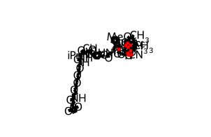 COc1c(C)cc2c(c1O)C1C3[C@@H]4SC[C@]5(N[C@@H](CNC(=O)OCc6ccc(NC(=O)[C@H](C)NC(=O)[C@@H](NC(=O)CCOCCOCCOCCOCCNC(=O)CCN7C(=O)C=CC7=O)C(C)C)cc6)Cc6c5[nH]c5ccccc65)C(=O)OC[C@@H](c5c6c(c(C)c(OC(C)=O)c54)OCO6)N3C3(C#N)CN1C2(C)C3